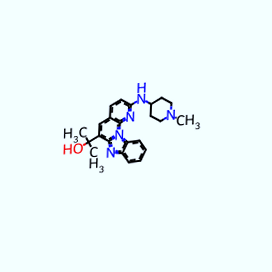 CN1CCC(Nc2ccc3cc(C(C)(C)O)c4nc5ccccc5n4c3n2)CC1